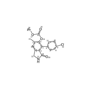 Cc1nc2c(c(-c3ccc(Cl)cc3)c1OC(=O)OC(C)C)C(=O)NC2